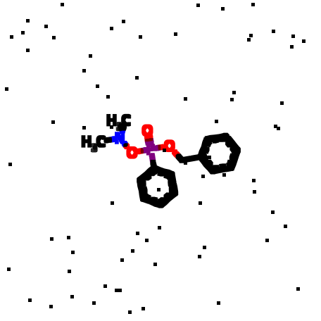 CN(C)OP(=O)(OCc1ccccc1)c1ccccc1